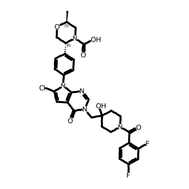 C[C@H]1CN(C(=O)O)[C@H](c2ccc(-n3c(Cl)cc4c(=O)n(CC5(O)CCN(C(=O)c6ccc(F)cc6F)CC5)cnc43)cc2)CO1